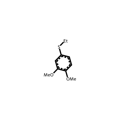 CCSc1ccc(OC)c(OC)c1